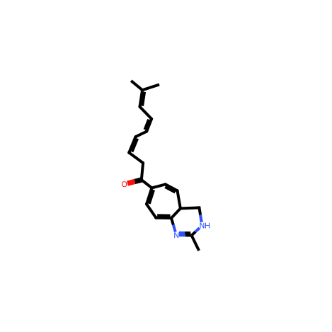 CC(C)=C/C=C\C=C/CC(=O)C1=CC=C2N=C(C)NCC2C=C1